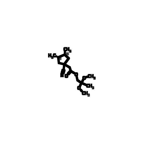 COC(C)(COC(=O)CC1(C#N)C[C@H](C)[C@@H](C)C1)OC